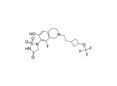 O=C1CN(c2c(O)cc3c(c2F)CN(CCC2CC(OC(F)(F)F)C2)CC3)S(=O)(=O)N1